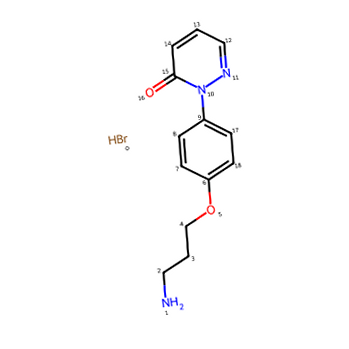 Br.NCCCOc1ccc(-n2ncccc2=O)cc1